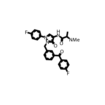 CNC(C)C(=O)Nc1cn(-c2ccc(F)cc2)n(Cc2cccc(C(=O)c3ccc(F)cc3)c2)c1=O